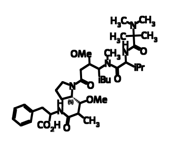 CCC(C)C(C(CC(=O)N1CCC[C@H]1C(OC)C(C)C(=O)NC(Cc1ccccc1)C(=O)O)OC)N(C)C(=O)C(NC(=O)C(C)(C)N(C)C)C(C)C